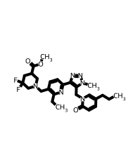 CCCc1ccc(=O)n(Cc2c(-c3ccc(CN4CC(C(=O)OC)CC(F)(F)C4)c(CC)n3)nnn2C)c1